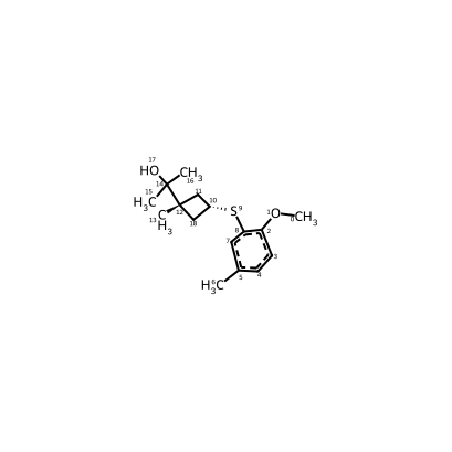 COc1ccc(C)cc1S[C@H]1C[C@@](C)(C(C)(C)O)C1